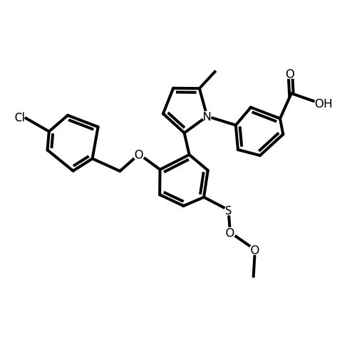 COOSc1ccc(OCc2ccc(Cl)cc2)c(-c2ccc(C)n2-c2cccc(C(=O)O)c2)c1